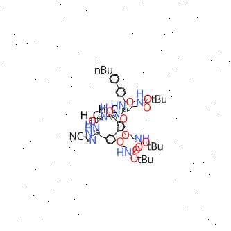 CCCCc1ccc(-c2ccc(C(=O)N[C@@H](CCCNC(=O)OC(C)(C)C)C(=O)N(C)[C@@H]3C(=O)N[C@@H](C)C(=O)N[C@H](c4ncc(C#N)[nH]4)Cc4ccc(OCCNC(=O)OC(C)(C)C)c(c4)-c4cc3ccc4OCCNC(=O)OC(C)(C)C)cc2)cc1